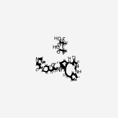 Cn1cncc1C(=O)N1CCC(CC(=O)Nc2ccc3cc2CCc2cncc(c2)Nc2ncc(Cl)c(n2)N3)CC1.O=C(O)C(F)(F)F.O=C(O)C(F)(F)F